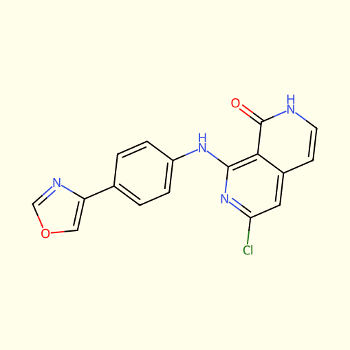 O=c1[nH]ccc2cc(Cl)nc(Nc3ccc(-c4cocn4)cc3)c12